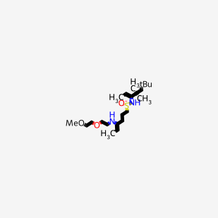 CC=C(CCC[S+]([O-])NC(=CC)C(C)(C)CC(C)(C)C)NCCOCCOC